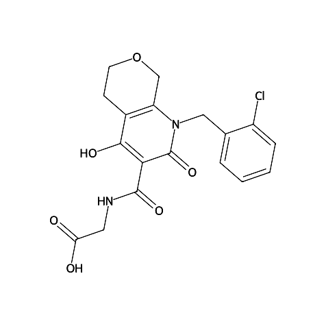 O=C(O)CNC(=O)c1c(O)c2c(n(Cc3ccccc3Cl)c1=O)COCC2